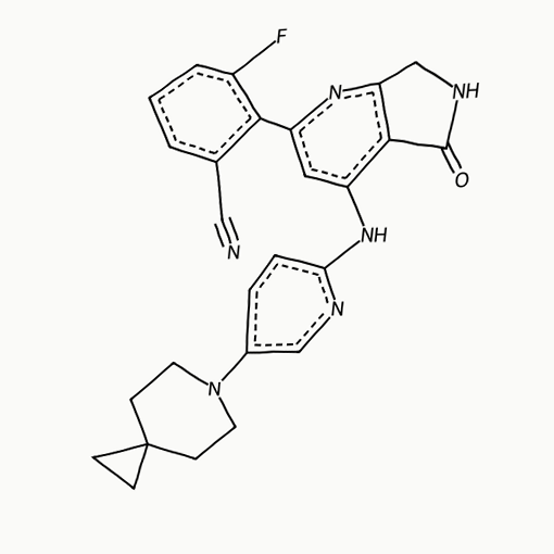 N#Cc1cccc(F)c1-c1cc(Nc2ccc(N3CCC4(CC3)CC4)cn2)c2c(n1)CNC2=O